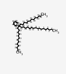 CCCCCCCCCCCCCCCCCC(CCCCCCCCCCCCC)(CCCCCCCCCCCCC)[n+]1ccccc1